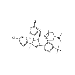 CCOc1cc(C(C)(C)C)ncc1C1=N[C@@](C)(c2ccc(Cl)cc2)[C@@](C)(c2ccc(Cl)cc2)N1C(=O)N1CCC(N(C)C)CC1